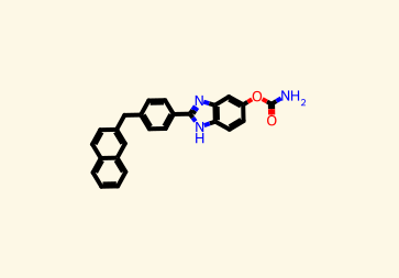 NC(=O)Oc1ccc2[nH]c(-c3ccc(Cc4ccc5ccccc5c4)cc3)nc2c1